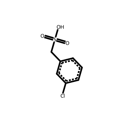 O=S(=O)(O)Cc1cccc(Cl)c1